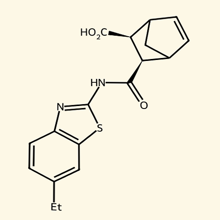 CCc1ccc2nc(NC(=O)[C@@H]3C4C=CC(C4)[C@@H]3C(=O)O)sc2c1